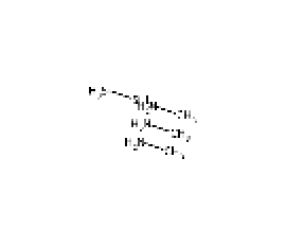 CN.CN.CN.[SiH3][SiH3]